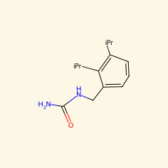 CC(C)c1cccc(CNC(N)=O)c1C(C)C